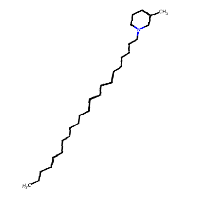 CCCCCCCCCCCCCCCCCCCCCCN1CCCC(C)C1